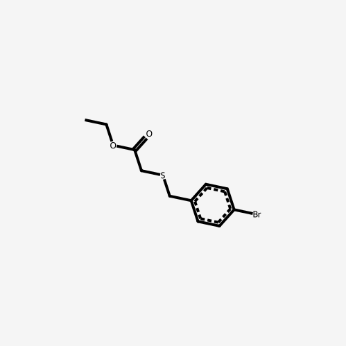 CCOC(=O)CSCc1ccc(Br)cc1